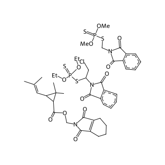 CC(C)=CC1C(C(=O)OCN2C(=O)C3=C(CCCC3)C2=O)C1(C)C.CCOP(=S)(OCC)SC(CCl)N1C(=O)c2ccccc2C1=O.COP(=S)(OC)SCN1C(=O)c2ccccc2C1=O